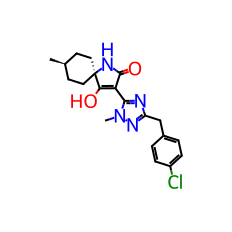 Cn1nc(Cc2ccc(Cl)cc2)nc1C1=C(O)[C@]2(CC[C@H](C)CC2)NC1=O